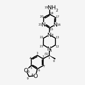 C[C@@H](c1ccc2c(c1)OCO2)N1CCN(c2ncc(N)cn2)CC1